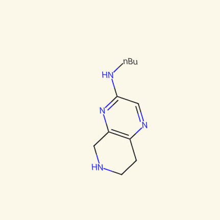 CCCCNc1cnc2c(n1)CNCC2